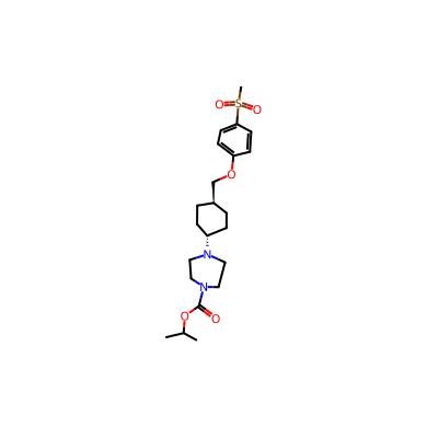 CC(C)OC(=O)N1CCN([C@H]2CC[C@H](COc3ccc(S(C)(=O)=O)cc3)CC2)CC1